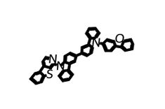 c1ccc2c(c1)oc1cc(-n3c4ccccc4c4cc(-c5ccc6c(c5)c5ccccc5n6-c5nccc6c5sc5ccccc56)ccc43)ccc12